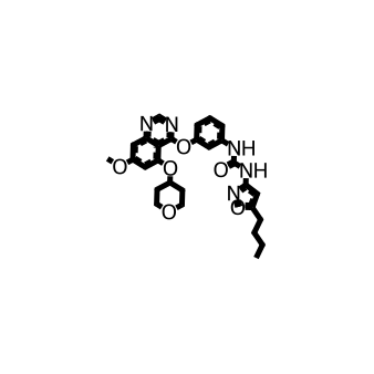 CCCCc1cc(NC(=O)Nc2cccc(Oc3ncnc4cc(OC)cc(OC5CCOCC5)c34)c2)no1